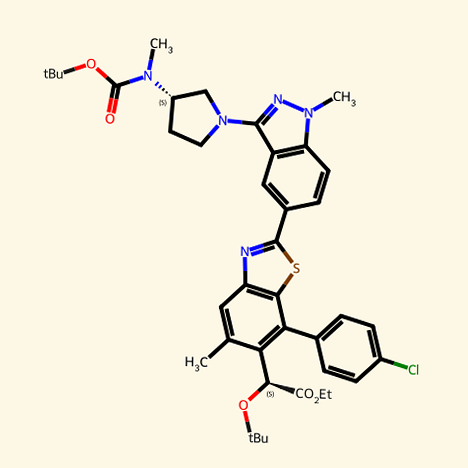 CCOC(=O)[C@@H](OC(C)(C)C)c1c(C)cc2nc(-c3ccc4c(c3)c(N3CC[C@H](N(C)C(=O)OC(C)(C)C)C3)nn4C)sc2c1-c1ccc(Cl)cc1